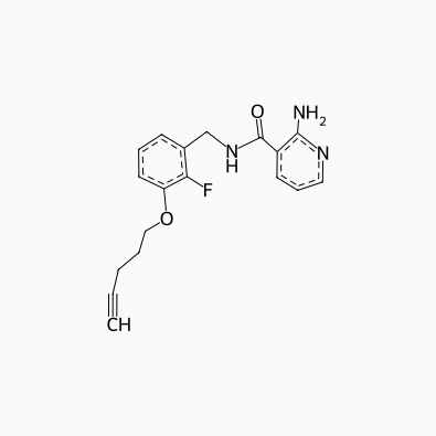 C#CCCCOc1cccc(CNC(=O)c2cccnc2N)c1F